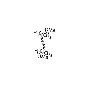 COC(=O)CC(C)(C)CCSCCSCCC(C)(C)CC(=O)OC